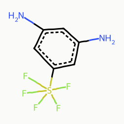 Nc1cc(N)cc(S(F)(F)(F)(F)F)c1